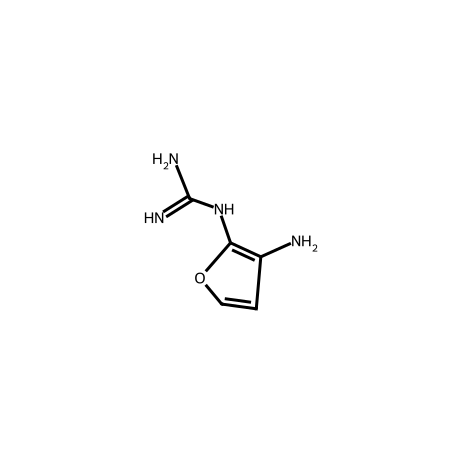 N=C(N)Nc1occc1N